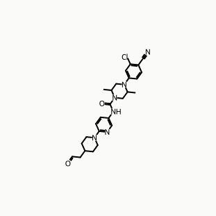 CC1CN(c2ccc(C#N)c(Cl)c2)C(C)CN1C(=O)Nc1ccc(N2CCC(CC=O)CC2)nc1